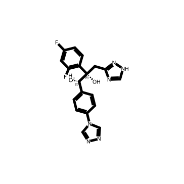 C[C@@H](c1ccc(-n2cnnc2)cc1)[C@](O)(Cc1nc[nH]n1)c1ccc(F)cc1F